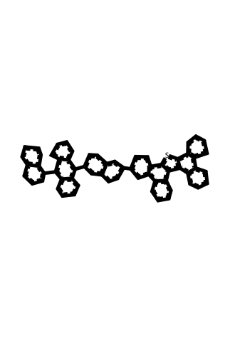 c1ccc2c(-c3c4ccccc4c(-c4ccc5cc(-c6ccc7c(c6)c6ccccc6c6c7sc7c8ccccc8c8ccccc8c76)ccc5c4)c4ccccc34)cccc2c1